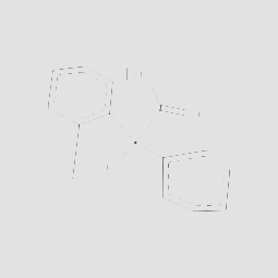 COC(C(=O)O)(c1ccccc1)c1ccccc1C